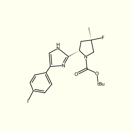 CC(C)(C)OC(=O)N1C[C@](C)(F)C[C@H]1c1nc(-c2ccc(I)cc2)c[nH]1